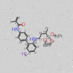 C=C(C)C(=O)Nc1ccc(-c2ccccc2NCCC(C)[Si](OCCC)(OCCC)OCCC)cc1.I